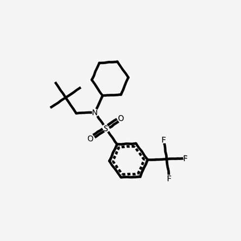 CC(C)(C)CN(C1CCCCC1)S(=O)(=O)c1cccc(C(F)(F)F)c1